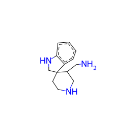 NCC1CNCCC12CNc1ccccc12